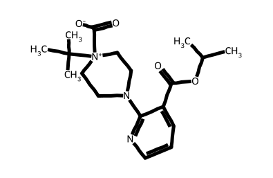 CC(C)OC(=O)c1cccnc1N1CC[N+](C(=O)[O-])(C(C)(C)C)CC1